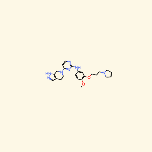 COc1ccc(Nc2nccc(N3CCc4cn[nH]c4C3)n2)cc1OCCCN1CCCC1